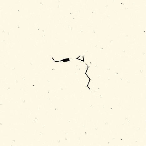 CCCCC[C@@H]1O[C@H]1C#CCBr